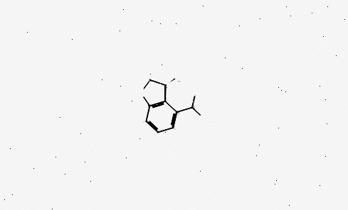 CC(C)c1cccc2c1[C@H](C)CS2